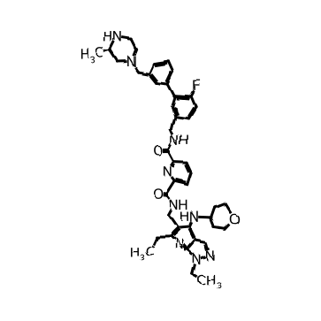 CCc1nc2c(cnn2CC)c(NC2CCOCC2)c1CNC(=O)c1cccc(C(=O)NCc2ccc(F)c(-c3cccc(CN4CCN[C@H](C)C4)c3)c2)n1